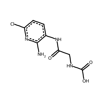 Nc1nc(Cl)ccc1NC(=O)CNC(=O)O